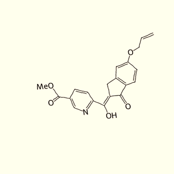 C=CCOc1ccc2c(c1)C/C(=C(/O)c1ccc(C(=O)OC)cn1)C2=O